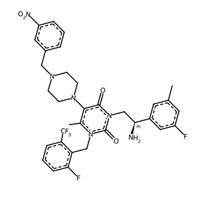 Cc1cc(F)cc([C@@H](N)Cn2c(=O)c(N3CCN(Cc4cccc([N+](=O)[O-])c4)CC3)c(C)n(Cc3c(F)cccc3C(F)(F)F)c2=O)c1